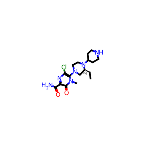 CC[C@H]1CN(c2c(Cl)nc(C(N)=O)c(=O)n2C)CCN1C1CCNCC1